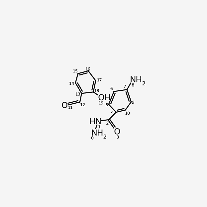 NNC(=O)c1ccc(N)cc1.O=Cc1ccccc1O